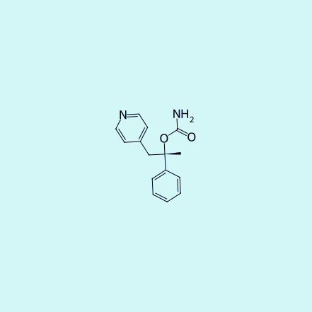 C[C@@](Cc1ccncc1)(OC(N)=O)c1ccccc1